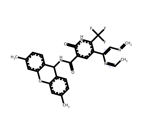 C=N/C=C(\N=C/C)c1cc(C(=O)NC2c3ccc(C)cc3Oc3cc(C)ccc32)c(=O)[nH]c1C(F)(F)F